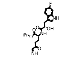 CC(C)OC(=O)[C@H](CCC(=O)C=N)NC(=O)[C@@H](O)Cc1c[nH]c2cc(F)ccc12